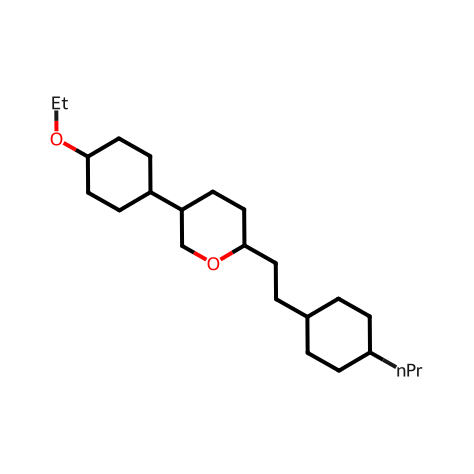 CCCC1CCC(CCC2CCC(C3CCC(OCC)CC3)CO2)CC1